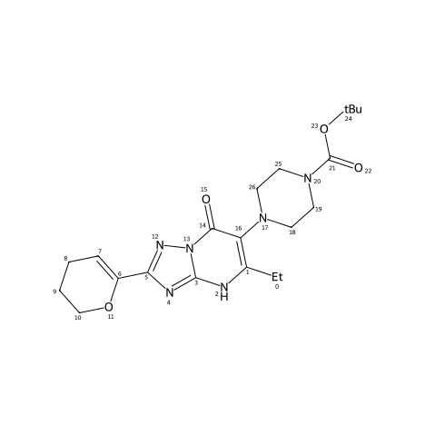 CCc1[nH]c2nc(C3=CCCCO3)nn2c(=O)c1N1CCN(C(=O)OC(C)(C)C)CC1